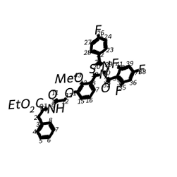 CCOC(=O)[C@@H](Cc1ccccc1)NC(=O)COc1cccc(C2SC(c3ccc(F)cc3)=NN2C(=O)c2c(F)cc(F)cc2F)c1OC